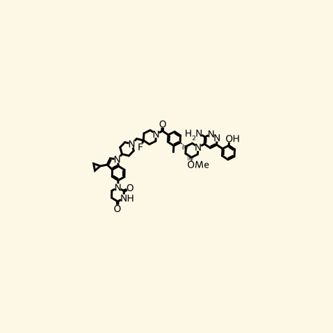 CO[C@@H]1C[C@H](c2ccc(C(=O)N3CCC(F)(CN4CCC(n5cc(C6CC6)c6cc(N7CCC(=O)NC7=O)ccc65)CC4)CC3)cc2C)CN(c2cc(-c3ccccc3O)nnc2N)C1